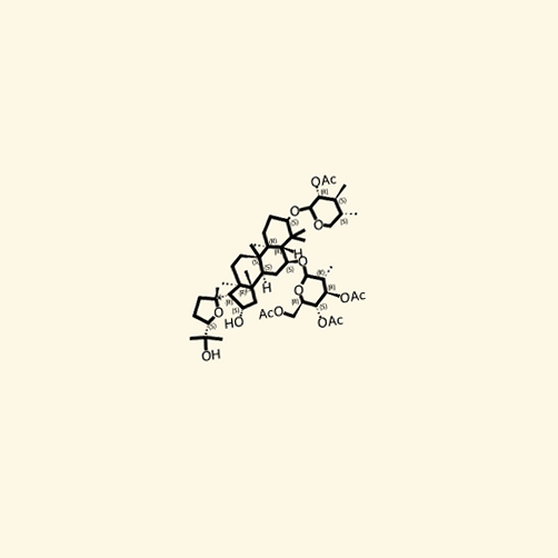 CC(=O)OC[C@H]1OC(O[C@H]2C[C@@H]3[C@]4(CC[C@]5(C)[C@@H]([C@@]6(C)CC[C@@H](C(C)(C)O)O6)[C@@H](O)C[C@@]35C)C[C@@]43CC[C@H](OC4OC[C@@H](C)[C@H](C)[C@H]4OC(C)=O)C(C)(C)[C@H]23)[C@H](C)[C@@H](OC(C)=O)[C@@H]1OC(C)=O